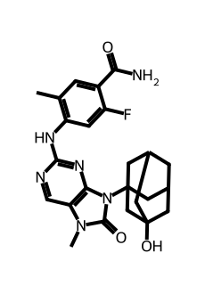 Cc1cc(C(N)=O)c(F)cc1Nc1ncc2c(n1)n(C13CC4CC(CC(O)(C4)C1)C3)c(=O)n2C